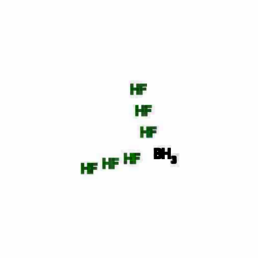 B.F.F.F.F.F.F